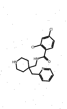 O=C(NCC1(Cc2ccccn2)CCNCC1)c1ccc(Cl)cc1Cl